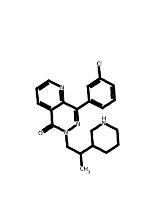 CC(Cn1nc(-c2cccc(Cl)c2)c2ncccc2c1=O)C1CCCNC1